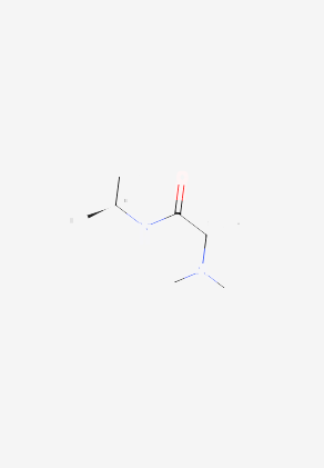 CC(C)[C@@H](C(=O)N[C@H](C)C(C)C)N(C)C